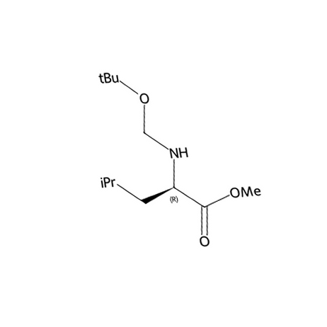 COC(=O)[C@@H](CC(C)C)NCOC(C)(C)C